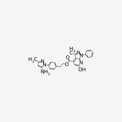 Cc1cc(N)n(-c2ccc(CCOC(=O)c3cc(O)nc4c3c(C)nn4-c3ccccc3)cc2)n1